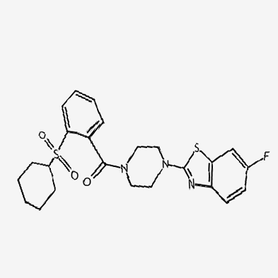 O=C(c1ccccc1S(=O)(=O)C1CCCCC1)N1CCN(c2nc3ccc(F)cc3s2)CC1